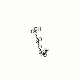 CN(OCCOCCOC(=O)CCCCC(=O)O)C(=O)OC(C)(C)C